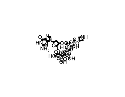 Nc1nc2c(ncn2[C@H]2CC(O)[C@@H](COP(=O)(O)OP(=O)(O)OP(=O)(O)OP(=O)(O)OP(=O)(O)OP(=O)(O)OC3CNC3)O2)c(=O)[nH]1